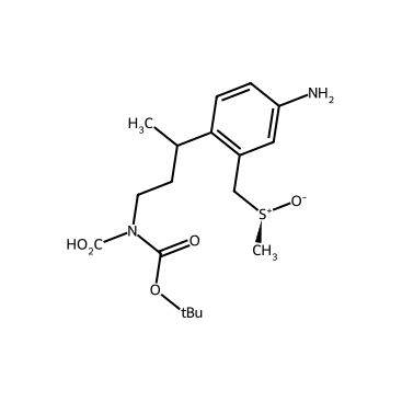 CC(CCN(C(=O)O)C(=O)OC(C)(C)C)c1ccc(N)cc1C[S@+](C)[O-]